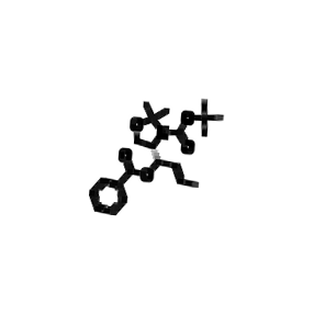 C/C=C/C(OC(=O)c1ccccc1)[C@@H]1COC(C)(C)N1C(=O)OC(C)(C)C